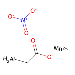 O=C([O-])[CH2][AlH2].O=[N+]([O-])[O-].[Mn+2]